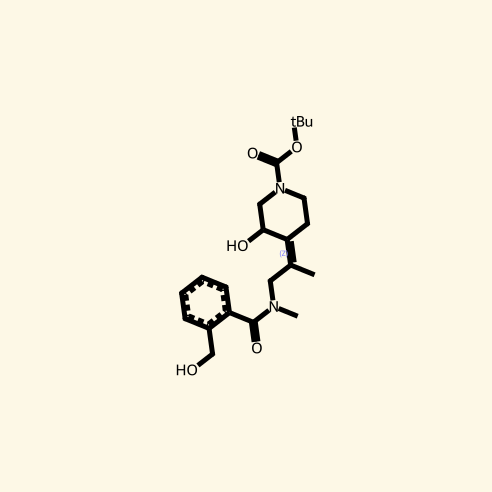 C/C(CN(C)C(=O)c1ccccc1CO)=C1\CCN(C(=O)OC(C)(C)C)CC1O